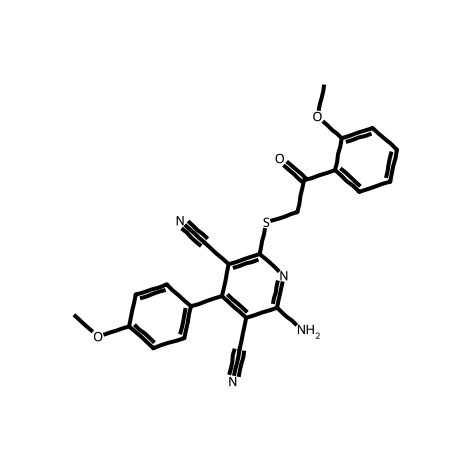 COc1ccc(-c2c(C#N)c(N)nc(SCC(=O)c3ccccc3OC)c2C#N)cc1